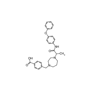 CC(C(=O)Nc1ccc(Oc2ccccc2)cc1)N1CCCN(Cc2ccc(C(=O)O)cc2)CC1